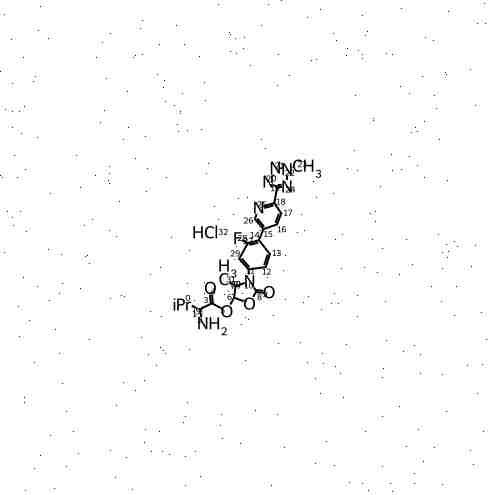 CC(C)[C@H](N)C(=O)OC1OC(=O)N(c2ccc(-c3ccc(-c4nnn(C)n4)nc3)c(F)c2)[C@@H]1C.Cl